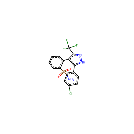 NS(=O)(=O)c1ccccc1-c1c(C(F)(F)Cl)n[nH]c1-c1ccc(Cl)cc1